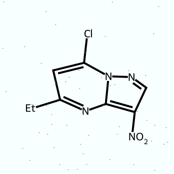 CCc1cc(Cl)n2ncc([N+](=O)[O-])c2n1